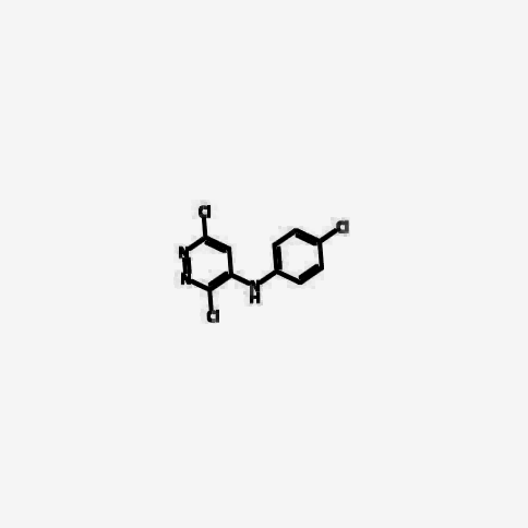 Clc1ccc(Nc2cc(Cl)nnc2Cl)cc1